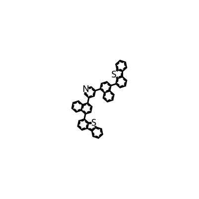 c1ccc2c(c1)sc1c(-c3ccc(-c4cncc(-c5ccc(-c6cccc7c6sc6ccccc67)c6ccccc56)c4)c4ccccc34)cccc12